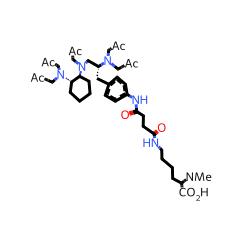 CNC(CCCCNC(=O)CCC(=O)Nc1ccc(C[C@H](CN(CC(C)=O)[C@H]2CCCC[C@@H]2N(CC(C)=O)CC(C)=O)N(CC(C)=O)CC(C)=O)cc1)C(=O)O